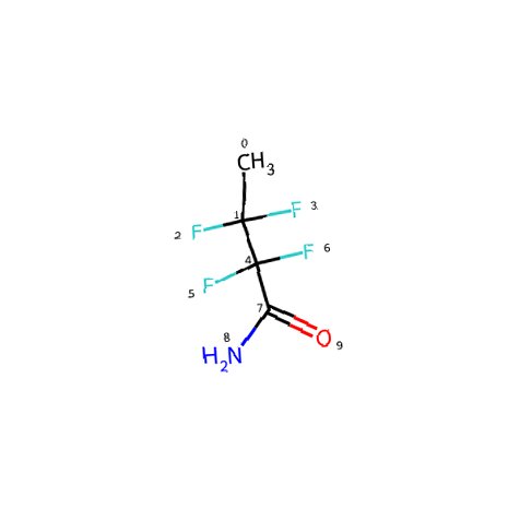 CC(F)(F)C(F)(F)C(N)=O